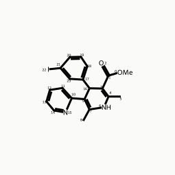 COC(=O)C1=C(C)NC(C)=C(c2ccccn2)C1c1cccc(I)c1